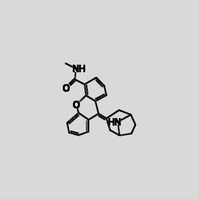 CNC(=O)c1cccc2c1Oc1ccccc1C2=C1CC2CCC(C1)N2